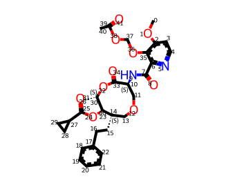 COc1ccnc(C(=O)N[C@H]2COC[C@H](CCc3ccccc3)[C@@H](OC(=O)C3CC3)[C@H](C)OC2=O)c1OCOC(C)=O